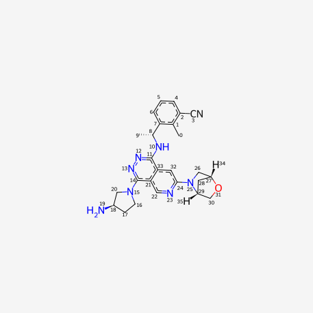 Cc1c(C#N)cccc1[C@@H](C)Nc1nnc(N2CC[C@@H](N)C2)c2cnc(N3C[C@H]4C[C@@H]3CO4)cc12